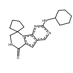 O=C1NCC2(CCCC2)n2c1cc1cnc(NC3CCCCC3)nc12